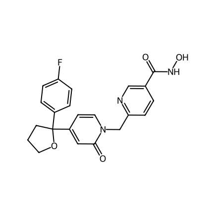 O=C(NO)c1ccc(Cn2ccc(C3(c4ccc(F)cc4)CCCO3)cc2=O)nc1